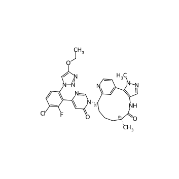 CCOc1cn(-c2ccc(Cl)c(F)c2-c2cc(=O)n([C@H]3CCC[C@@H](C)C(=O)Nc4cnn(C)c4-c4ccnc3c4)cn2)nn1